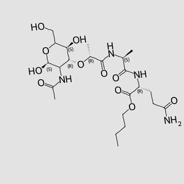 CCCCOC(=O)[C@@H](CCC(N)=O)NC(=O)[C@H](C)NC(=O)[C@@H](C)O[C@@H]1C(NC(C)=O)[C@@H](O)OC(CO)[C@H]1O